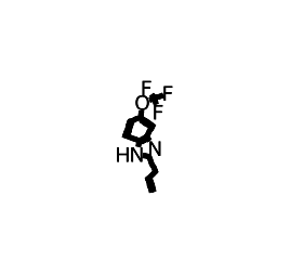 C=CCc1nc2cc(OC(F)(F)F)ccc2[nH]1